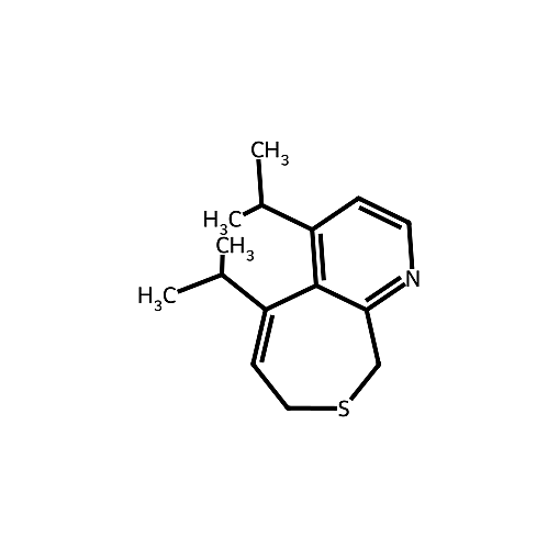 CC(C)C1=CCSCc2nccc(C(C)C)c21